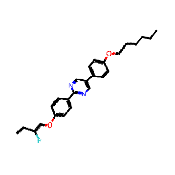 CCCCCCOc1ccc(-c2cnc(-c3ccc(OCC(F)CC)cc3)nc2)cc1